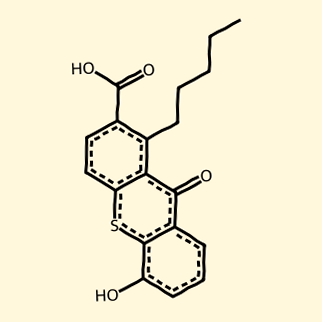 CCCCCc1c(C(=O)O)ccc2sc3c(O)cccc3c(=O)c12